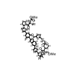 COCNC(C(=O)N1[C@@H]2C[C@@H]2C[C@H]1c1ncc(-c2ccc3c(c2)cc2n3C(c3cnc(CC(C)C)s3)Oc3cc(-c4cnc([C@@H]5CCCN5C(=O)[C@@H](NC(=O)OC)C(C)C)[nH]4)cc(F)c3-2)[nH]1)C1CCOC(C)(C)C1